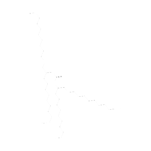 CCCCCCCCCCCCCCCCCCOCC(CCCCCCCCCCCCCCCCCC)OC(=O)OC(CCCCCCCCCCCCCCCCCC)COCCCCCCCCCCCCCCCCCC